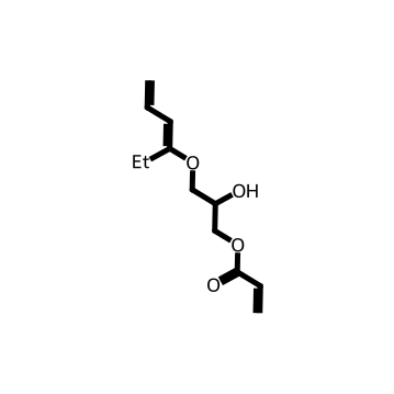 C=C/C=C(\CC)OCC(O)COC(=O)C=C